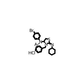 CC(=O)N(c1ccc(Br)cc1)C1CSC(=NC2CCCCC2)N1Cc1ccccc1.Cl